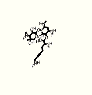 CN(F)C1CC(NF)C(OC(O)C(CCC#CCNF)NF)C(O)P1OC1OCC(C)(O)C(N(C)F)C1O